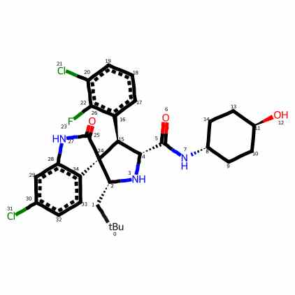 CC(C)(C)C[C@H]1N[C@@H](C(=O)N[C@H]2CC[C@H](O)CC2)[C@H](c2cccc(Cl)c2F)[C@]12C(=O)Nc1cc(Cl)ccc12